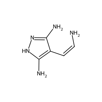 N/C=C\c1c(N)n[nH]c1N